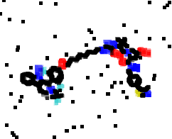 Cc1ncsc1-c1ccc(CNC(=O)[C@@H]2C[C@@H](O)CN2C(=O)C(NC(=O)CNCCCCCCCCOc2cc(F)c([C@@H]3c4[nH]c5ccccc5c4C[C@@H](C)N3CC(C)(C)F)c(F)c2)C(C)(C)C)cc1